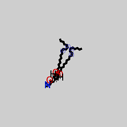 CCCC/C=C\C/C=C\CCCCCCCCC1(CCCCCCCC/C=C\C/C=C\CCCC)O[C@H]2C[C@H](CC(=O)CN(C)C)C[C@H]2O1